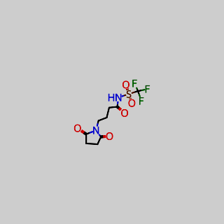 O=C(CCCN1C(=O)CCC1=O)NS(=O)(=O)C(F)(F)F